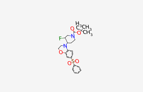 CC(C)(C)OC(=O)N1CCC(N2CCOc3cc(S(=O)(=O)c4ccccc4)ccc32)C(F)C1